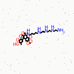 COc1cc(C2c3cc4c(cc3[C@@H](NC(=O)CCCCNCCCNCCCNCCCN)[C@H]3COC(=O)[C@H]23)OCO4)cc(C)c1O